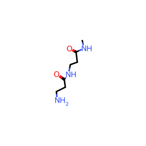 CNC(=O)CCNC(=O)CCN